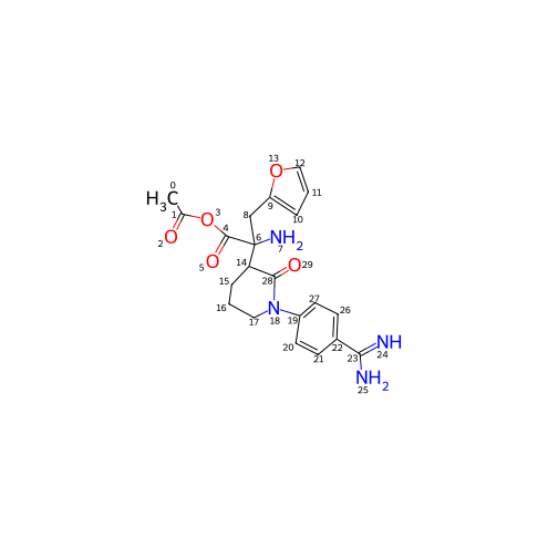 CC(=O)OC(=O)C(N)(Cc1ccco1)C1CCCN(c2ccc(C(=N)N)cc2)C1=O